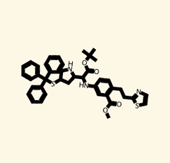 COC(=O)c1cc(NC(C(=O)OC(C)(C)C)C2CC(SC(c3ccccc3)(c3ccccc3)c3ccccc3)CN2)ccc1CCc1nccs1